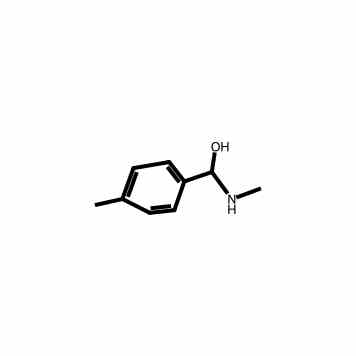 CNC(O)c1ccc(C)cc1